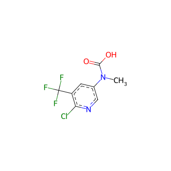 CN(C(=O)O)c1cnc(Cl)c(C(F)(F)F)c1